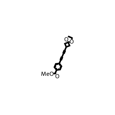 COC(=O)c1ccc(C#CC#CC2CC3(C2)OCCO3)cc1